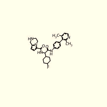 Cc1ccnc(C)c1-c1ccc(NC(=O)C(NC(=O)c2ccc3n2CCNC3)C2CCC(F)CC2)cc1